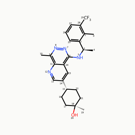 Cc1c([C@@H](C)Nc2nnc(C)c3ncc([C@H]4CC[C@](C)(O)CC4)cc23)cccc1C(F)(F)F